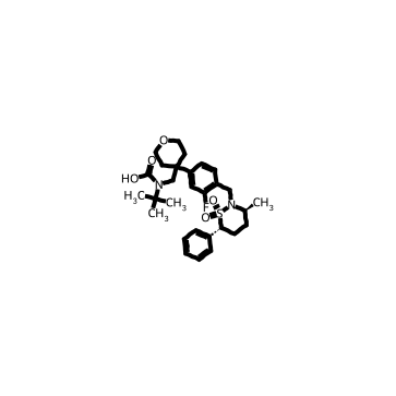 C[C@H]1CC[C@H](c2ccccc2)S(=O)(=O)N1Cc1ccc(C2(CN(C(=O)O)C(C)(C)C)CCOCC2)cc1F